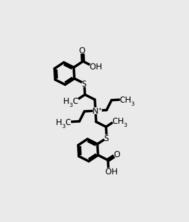 CCC[N+](CCC)(CC(C)Sc1ccccc1C(=O)O)CC(C)Sc1ccccc1C(=O)O